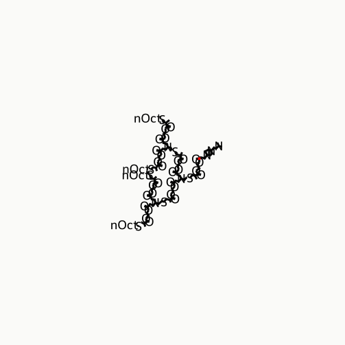 CCCCCCCCSCC(C)C(=O)OCCOC(=O)CCN(CCSCC(C)C(=O)OCCOC(=O)CCN(CCSCC(C)C(=O)OCCOC(=O)CCN1CCN(CCN(C)C)CC1)CCC(=O)OCCOC(=O)C(C)CSCCN(CCC(=O)OCCOC(=O)C(C)CSCCCCCCCC)CCC(=O)OCCOC(=O)C(C)CSCCCCCCCC)CCC(=O)OCCOC(=O)C(C)CSCCCCCCCC